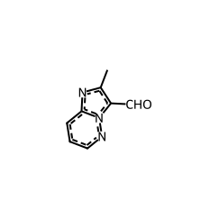 Cc1nc2cccnn2c1C=O